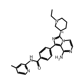 CCN1CCC[C@@H](c2nc(-c3ccc(C(=O)Nc4cc(C)ccn4)cc3)c3c(N)nccn23)C1